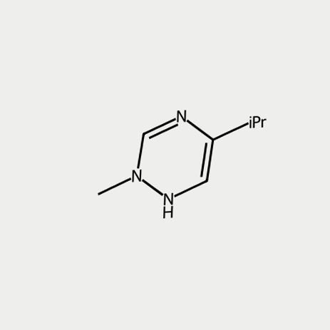 CC(C)C1=CNN(C)C=N1